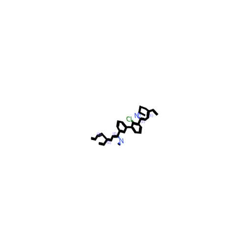 C=C\C=C/C(C=C)=C\C=C(/N=C)c1cccc(-c2cccc(C3=C/C=C(/C=C)CC\C(C)=N\3)c2Cl)c1